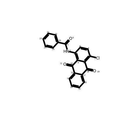 O=C(Nc1ccc(Cl)c2c1C(=O)c1ccccc1C2=O)c1ccccc1